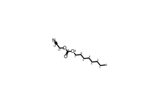 CCCCCCCCOC(=O)OCC#N